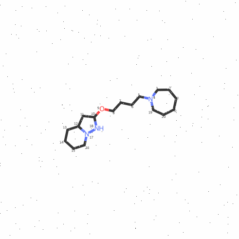 C1CCCN(CCCCOC2CC3CCCCN3N2)CC1